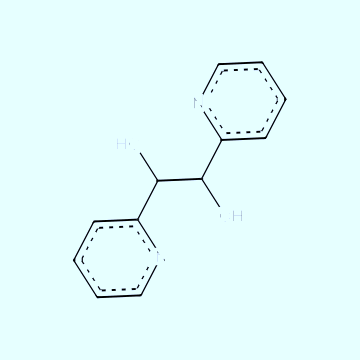 OC(c1ccccn1)C(O)c1ccccn1